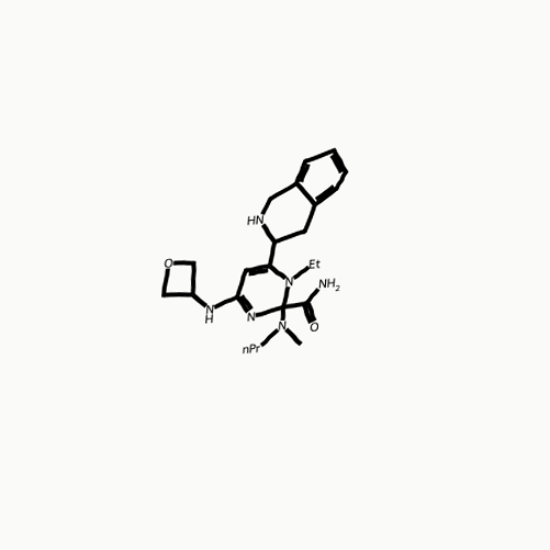 CCCN(C)C1(C(N)=O)N=C(NC2COC2)C=C(C2Cc3ccccc3CN2)N1CC